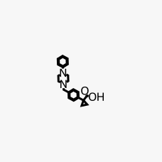 O=C(O)C1(c2ccc(CN3CCN(c4ccccc4)CC3)cc2)CC1